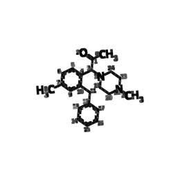 CC(=O)C(c1ccc(C)cc1Cc1ccccc1)N1CCN(C)CC1